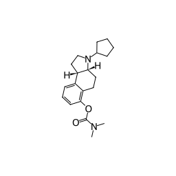 CN(C)C(=O)Oc1cccc2c1CC[C@@H]1[C@H]2CCN1C1CCCC1